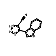 N#Cc1[nH]nnc1-c1c[nH]c2ccccc12